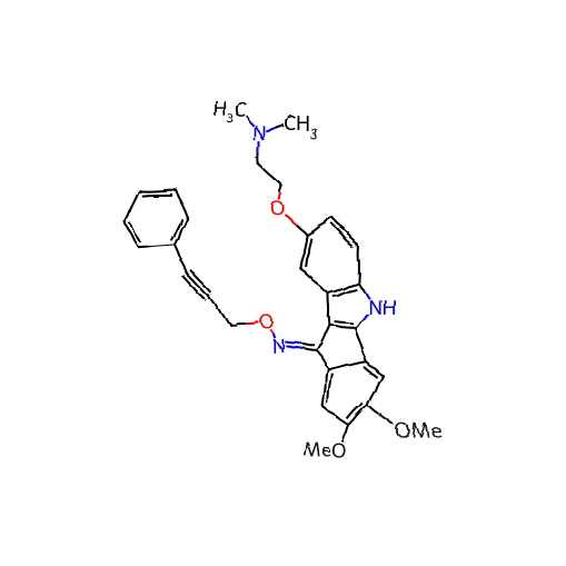 COc1cc2c(cc1OC)-c1[nH]c3ccc(OCCN(C)C)cc3c1C2=NOCC#Cc1ccccc1